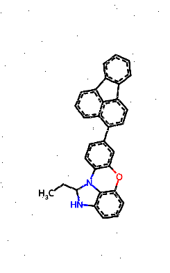 CCC1Nc2cccc3c2N1c1ccc(-c2ccc4c5c(cccc25)-c2ccccc2-4)cc1O3